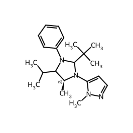 CC(C)C1[C@H](C)N(c2ccnn2C)C(C(C)(C)C)N1c1ccccc1